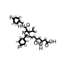 CC(C)c1c(C(=O)NCc2ccc(F)cc2)nc(-c2ccc(F)cc2)n1CC[C@@H](O)C[C@@H](O)CC(=O)O